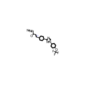 [N-]=[N+]=NC(=O)/C=C/c1ccc(-c2ncn(-c3ccc(OC(F)(F)F)cc3)n2)cc1